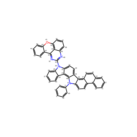 c1ccc(-n2c3ccc4c5ccccc5ccc4c3c3ccc4c(c5ccccc5n4-c4nc5c6c(cccc6n4)Oc4ccccc4-5)c32)cc1